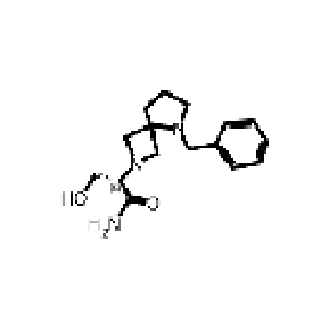 NC(=O)[C@H](CO)N1CC2(CCCN2Cc2ccccc2)C1